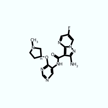 CN1CC[C@@H](Oc2ncncc2NC(=O)c2c(N)nn3cc(F)cnc23)C1